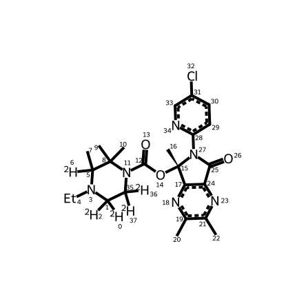 [2H]C1([2H])N(CC)C([2H])(C)C(C)(C)N(C(=O)O[C@@]2(C)c3nc(C)c(C)nc3C(=O)N2c2ccc(Cl)cn2)C1([2H])[2H]